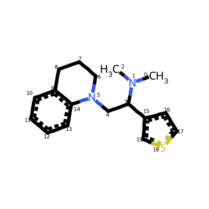 CN(C)C(CN1CCCc2ccccc21)c1ccsc1